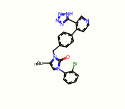 CCCCc1cn(-c2ccccc2Br)c(=O)n1Cc1ccc(-c2ccncc2-c2nnn[nH]2)cc1